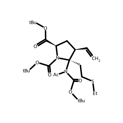 C=C[C@@H]1C[C@H](C(=O)OC(C)(C)C)N(C(=O)OC(C)(C)C)[C@]1(CCSCC)N(C(C)=O)C(=O)OC(C)(C)C